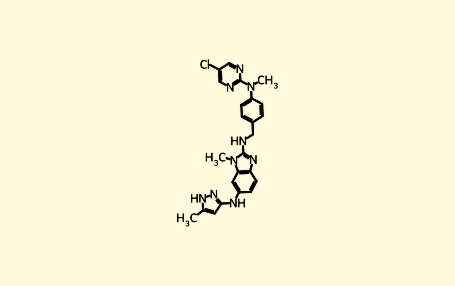 Cc1cc(Nc2ccc3nc(NCc4ccc(N(C)c5ncc(Cl)cn5)cc4)n(C)c3c2)n[nH]1